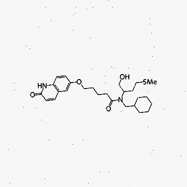 CSCCC(CO)N(CC1CCCCC1)C(=O)CCCCOc1ccc2[nH]c(=O)ccc2c1